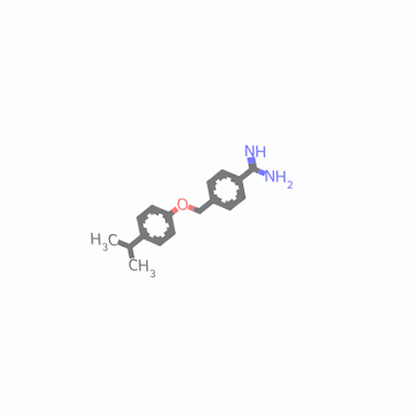 CC(C)c1ccc(OCc2ccc(C(=N)N)cc2)cc1